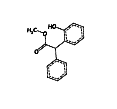 COC(=O)C(c1ccccc1)c1ccccc1O